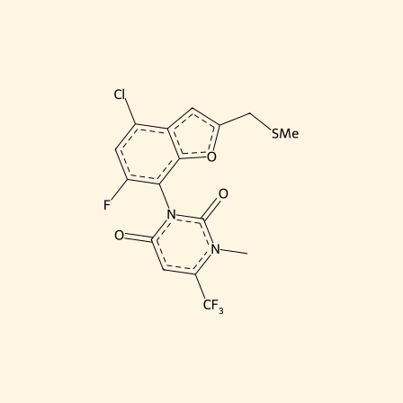 CSCc1cc2c(Cl)cc(F)c(-n3c(=O)cc(C(F)(F)F)n(C)c3=O)c2o1